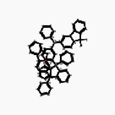 CC1(C)c2ccccc2C2C=C(N(c3ccccc3)c3cccc([Si](c4ccccc4)(c4ccccc4)c4ccccc4N(c4ccccc4)c4ccc5c(c4)oc4ccccc45)c3)C=CC21